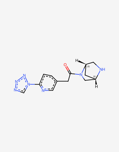 O=C(Cc1ccc(-n2cnnn2)nc1)N1C[C@@H]2C[C@H]1CN2